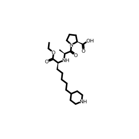 CCOC(=O)[C@H](CCCCCC1CCNCC1)N[C@@H](C)C(=O)N1CCC[C@H]1C(=O)O